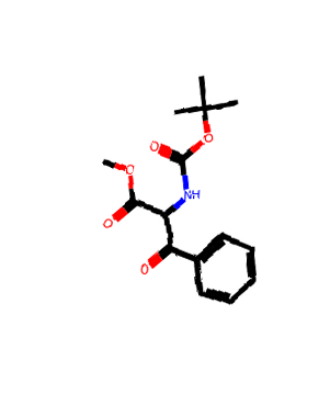 COC(=O)C(NC(=O)OC(C)(C)C)C(=O)c1ccccc1